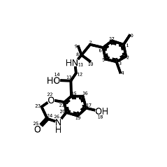 Cc1cc(C)cc(CC(C)(C)NCC(O)c2cc(O)cc3c2OCC(=O)N3)c1